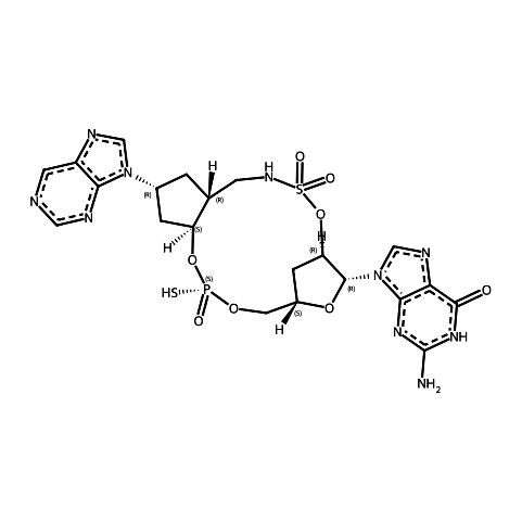 Nc1nc2c(ncn2[C@@H]2O[C@@H]3CO[P@](=O)(S)O[C@H]4C[C@H](n5cnc6cncnc65)C[C@@H]4CNS(=O)(=O)O[C@@H]2C3)c(=O)[nH]1